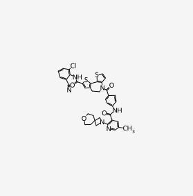 Cc1cnc(N2CC3(CCOCC3)C2)c(C(=O)Nc2ccc(C(=O)N3CCc4cc(C(=O)Nc5c(Cl)cccc5C#N)sc4-c4sccc43)cc2)c1